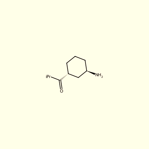 CC(C)C(=O)[C@@H]1CCC[C@@H](N)C1